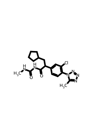 CNC(=O)NC(=O)C(CC1CCCC1)c1ccc(-n2nnnc2C)c(Cl)c1